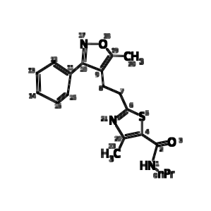 CCCNC(=O)c1sc(CCc2c(-c3ccccc3)noc2C)nc1C